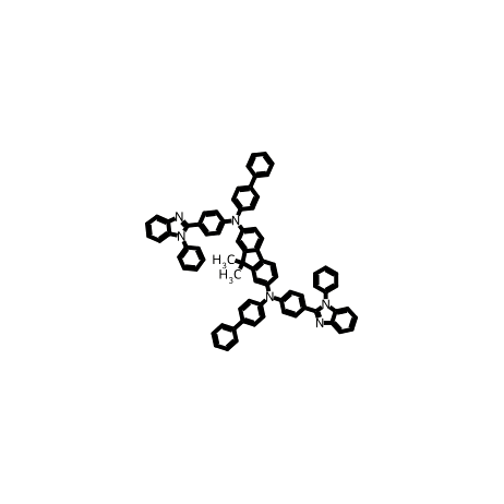 CC1(C)c2cc(N(c3ccc(-c4ccccc4)cc3)c3ccc(-c4nc5ccccc5n4-c4ccccc4)cc3)ccc2-c2ccc(N(c3ccc(-c4ccccc4)cc3)c3ccc(-c4nc5ccccc5n4-c4ccccc4)cc3)cc21